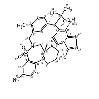 Cc1ccc(C(c2ccn3c(C(F)(F)F)nnc3c2C)C(C)(C)C(=O)O)cc1CN1C[C@@H]2CCCCN2c2ncc(C#N)cc2S1(=O)=O